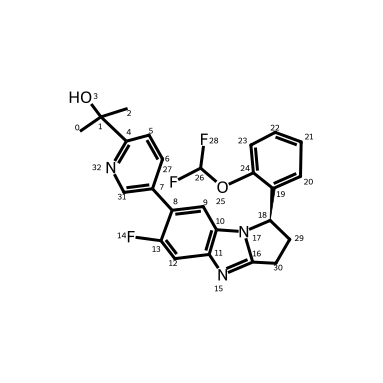 CC(C)(O)c1ccc(-c2cc3c(cc2F)nc2n3[C@@H](c3ccccc3OC(F)F)CC2)cn1